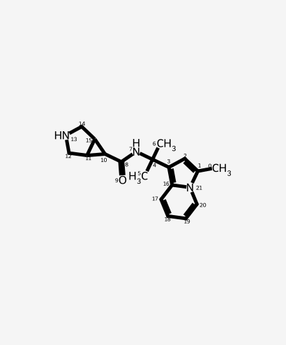 Cc1cc(C(C)(C)NC(=O)C2C3CNCC32)c2ccccn12